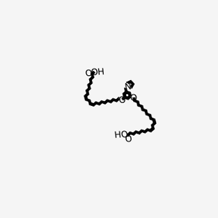 O=C(O)CCCCCCC/C=C\C/C=C\CCCCCCCCCOc1cc(CN2CCCC2)cc(OCCCCCCCCC/C=C\C/C=C\CCCCCCCC(=O)O)c1